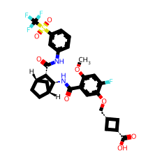 COc1cc(F)c(OC[C@H]2C[C@@H](C(=O)O)C2)cc1C(=O)N[C@@H]1[C@@H]2CC[C@@H](C2)[C@@H]1C(=O)Nc1cccc(S(=O)(=O)C(F)(F)F)c1